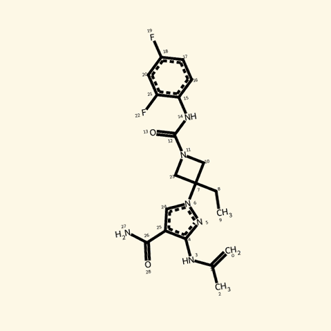 C=C(C)Nc1nn(C2(CC)CN(C(=O)Nc3ccc(F)cc3F)C2)cc1C(N)=O